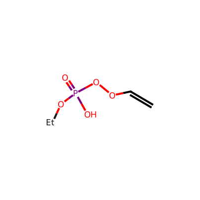 C=COOP(=O)(O)OCC